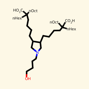 CCCCCCCCC(CCCCCC)(CCCCC1CN(CCCCO)CC1CCCCC(CCCCCC)(CCCCCCCC)C(=O)O)C(=O)O